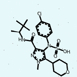 C[C@H](NC(=O)c1nn(C)c(C2CCOCC2)c1N(c1ccc(Cl)cc1)S(=O)(=O)O)C(C)(C)C